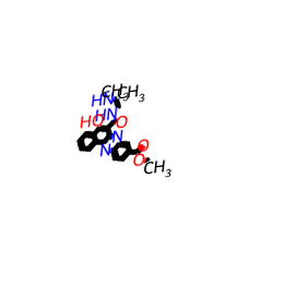 CCOC(=O)c1ccc2nc3c(nc2c1)c(C(=O)NCC(C)NC)c(O)c1ccccc13